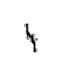 C=CC(=O)OCCCCOc1ccc(C(=O)Nc2cc(Cl)c(OC(=O)c3ccc(OCCCCOC(=O)C=C)cc3)c(Cl)c2)cc1